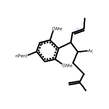 C=C(C)CCC(C(C)=O)C(/C=C/C)c1c(OC)cc(CCCCC)cc1OC